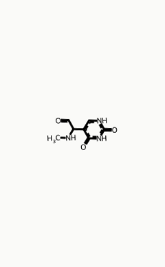 CNC(C=O)c1c[nH]c(=O)[nH]c1=O